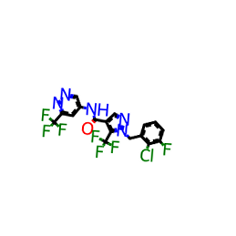 O=C(Nc1cnnc(C(F)(F)F)c1)c1cnn(Cc2cccc(F)c2Cl)c1C(F)(F)F